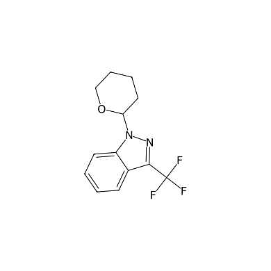 FC(F)(F)c1nn(C2CCCCO2)c2ccccc12